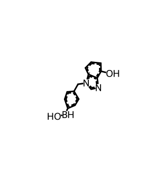 OBc1ccc(Cn2cnc3c(O)cccc32)cc1